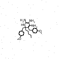 CCCCCC1(Cc2ccc(OC)cc2)NC(N)=C(N)C(N)=C1Cc1ccc(OC)cc1